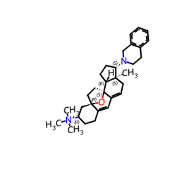 C[C@]12CC=C3C=C4CC[C@@H]([N+](C)(C)C)C[C@]45CC[C@]3(O5)[C@@H]1CC[C@@H]2N1CCc2ccccc2C1